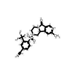 Cc1cc2c(cn1)C(=O)N1CCN(S(=O)(=O)c3ccc(C#N)cc3C(F)(F)F)CC21